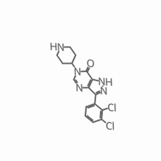 O=c1c2[nH]nc(-c3cccc(Cl)c3Cl)c2ncn1C1CCNCC1